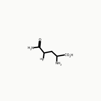 NC(=O)C([18F])CC(N)C(=O)O